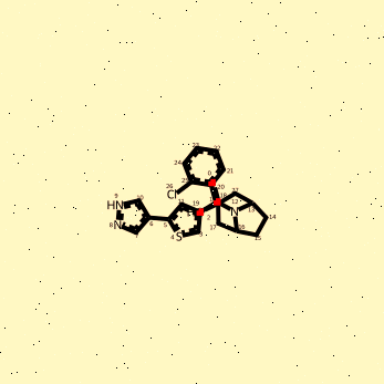 O=C(c1csc(-c2cn[nH]c2)c1)N1C2CCC1CC(O)(c1ccccc1Cl)C2